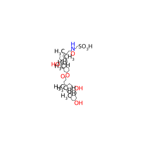 C[C@H](CCC(=O)O[C@@H]1CC[C@@]2(C)C(C1)C[C@H](O)[C@H]1[C@@H]3CC[C@H]([C@H](C)CCC(=O)NCCS(=O)(=O)O)[C@@]3(C)CC[C@@H]12)[C@H]1CC[C@H]2[C@@H]3[C@@H](O)CC4C[C@H](O)CC[C@]4(C)[C@H]3CC[C@]12C